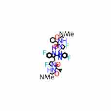 CN[C@@H](C)C(=O)NC(C(=O)N1C[C@@H](F)C[C@H]1Cc1c(-c2nc3cc(F)ccc3n2C[C@@H]2C[C@H](F)CN2C(=O)[C@@H](NC(=O)[C@H](C)NC)C2CCCCC2)[nH]c2cc(F)ccc12)C1CC1